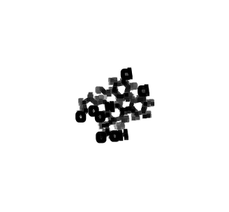 CC[C@@H](C1CCC(=O)O1)N1C(=O)[C@](C)(CC(=O)O)C[C@H](c2cccc(Cl)c2)[C@H]1c1ccc(Cl)cc1